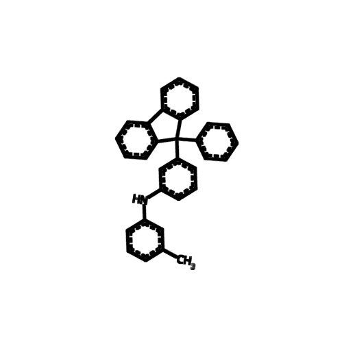 Cc1cccc(Nc2cccc(C3(c4ccccc4)c4ccccc4-c4ccccc43)c2)c1